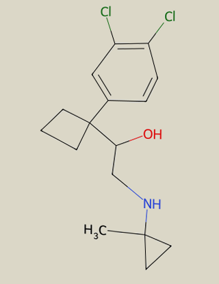 CC1(NCC(O)C2(c3ccc(Cl)c(Cl)c3)CCC2)CC1